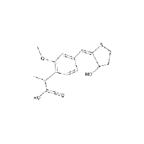 COc1cc(C=C2SCCC2O)ccc1C(C)C(=O)O